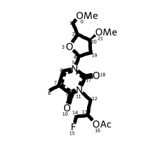 COCC1OC(n2cc(C)c(=O)n(CC(CF)OC(C)=O)c2=O)C[C@@H]1OC